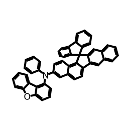 c1ccc(N(c2ccc3c4c(ccc3c2)-c2cc3ccccc3cc2C42c3ccccc3-c3ccccc32)c2cccc3oc4ccccc4c23)cc1